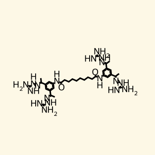 C/C(=N\NC(=N)N)c1cc(NC(=O)CCCCCCCCC(=O)Nc2cc(/C(C)=N/NC(=N)N)cc(/C(C)=N/NC(=N)N)c2)cc(/C(C)=N/NC(=N)N)c1